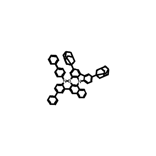 c1ccc(-c2ccc(N3B4c5c(cc6ccccc6c5-n5c6ccc(C78CC9CC(CC(C9)C7)C8)cc6c6cc(C78CC9CC(CC(C9)C7)C8)cc4c65)-c4cc(-c5ccccc5)ccc43)cc2)cc1